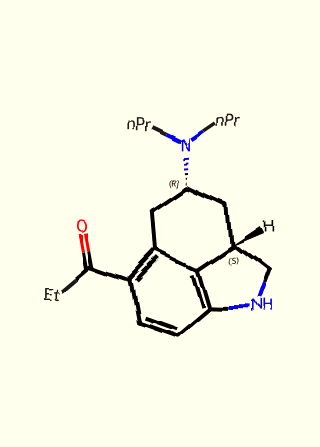 CCCN(CCC)[C@H]1Cc2c(C(=O)CC)ccc3c2[C@@H](CN3)C1